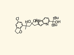 CC(C)(CC(O)(Cc1cc2nc(C(O)(C(C)(C)C)C(C)(C)C)ccc2[nH]1)C(F)(F)F)c1cc(Cl)cc2c1OCC2